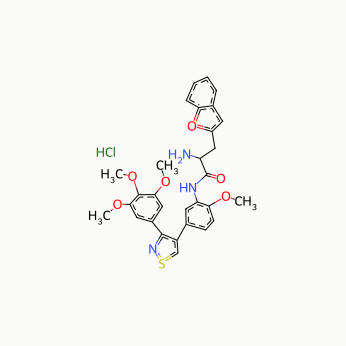 COc1ccc(-c2csnc2-c2cc(OC)c(OC)c(OC)c2)cc1NC(=O)C(N)Cc1cc2ccccc2o1.Cl